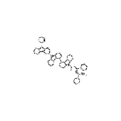 C=C(/C=C(\N=C(/N)c1ccccc1)c1ccccc1)n1c2ccccc2c2c(-c3cccc4c3c3ccccc3n4-c3ccc4c(c3)c3ccccc3n4-c3ccccc3)cccc21